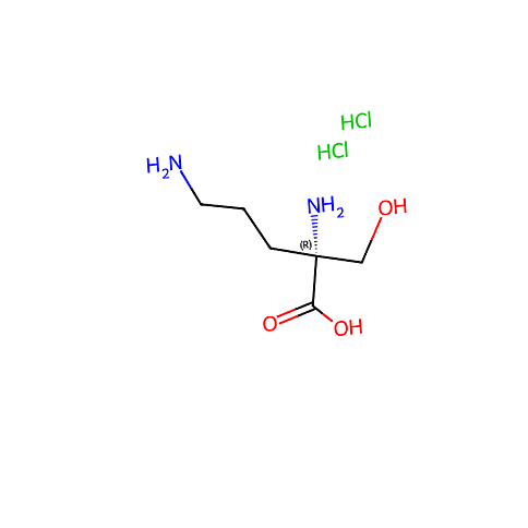 Cl.Cl.NCCC[C@@](N)(CO)C(=O)O